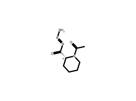 CC(=O)N1CCCC[C@@H]1C(=O)N=NN